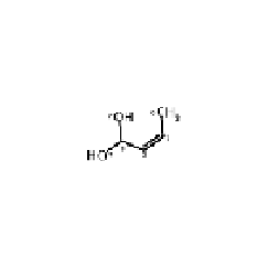 C/C=C\C(O)O